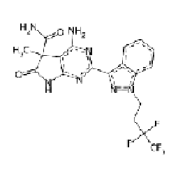 CC1(C(N)=O)C(=O)Nc2nc(-c3nn(CCC(F)(F)C(F)(F)F)c4ccccc34)nc(N)c21